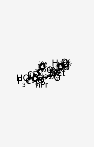 CCCc1cc(C(O)(C(F)(F)F)C(F)(F)F)cc(C=Cc2ccccc2)c1OCCCCN1C(=O)NC(CC)(c2ccc3c(c2)OCCO3)C1=O